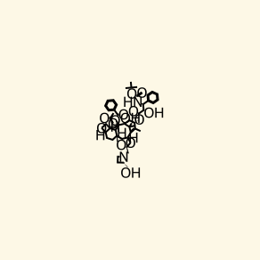 CC(=O)O[C@@]12CO[C@@H]1CC[C@@]1(C)[C@@H]3O[C@H](CN4CC[C@H]4CO)O[C@@H]3C3=C(C)[C@@H](OC(=O)[C@H](O)[C@@H](NC(=O)OC(C)(C)C)c4ccccc4)C[C@@](O)([C@@H](OC(=O)c4ccccc4)[C@@H]12)C3(C)C